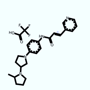 CC1CCCN1C1CCN(c2ccc(NC(=O)/C=C/c3cccnc3)cc2)C1.O=C(O)C(F)(F)F